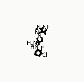 Cc1c[nH]c2ncnc(N3CCC(N)(CNc4cccc(Cl)c4F)C3)c12